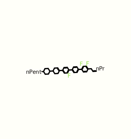 CCC/C=C\Cc1ccc(-c2ccc(-c3ccc(C4=CCC(C5CCC(CCCCC)CC5)CC4)cc3F)cc2)c(F)c1F